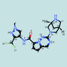 Cn1cc(NC(=O)c2ccc3cnc(N4C[C@H]5CN[C@H](C5)C4)nn23)c(C(F)F)n1